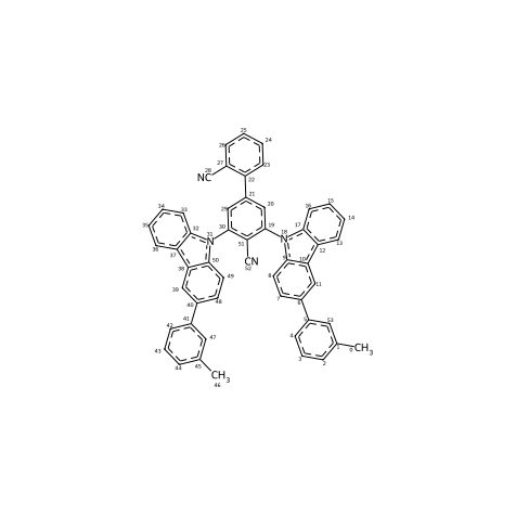 Cc1cccc(-c2ccc3c(c2)c2ccccc2n3-c2cc(-c3ccccc3C#N)cc(-n3c4ccccc4c4cc(-c5cccc(C)c5)ccc43)c2C#N)c1